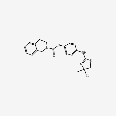 CCC1(C)CSC(Nc2ccc(OC(=O)N3CCc4ccccc4C3)nc2)=N1